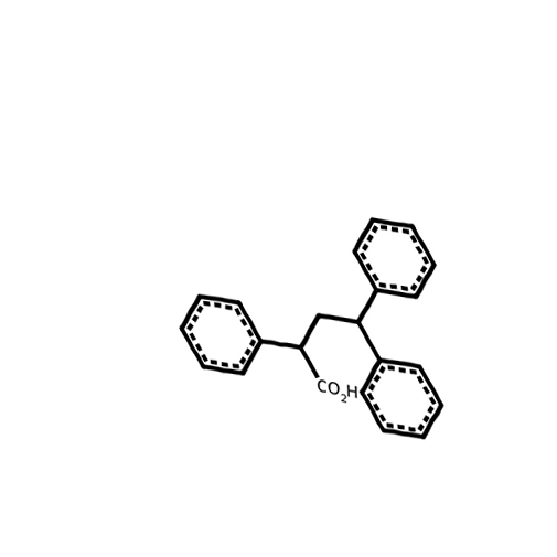 O=C(O)C(CC(c1ccccc1)c1ccccc1)c1ccccc1